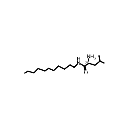 CCCCCCCCCCCNC(=O)[C@@H](N)CC(C)C